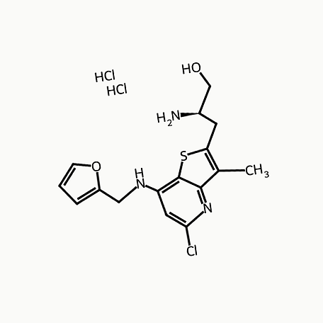 Cc1c(C[C@@H](N)CO)sc2c(NCc3ccco3)cc(Cl)nc12.Cl.Cl